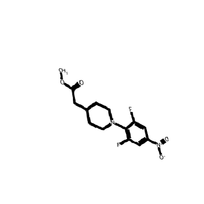 COC(=O)CC1CCN(c2c(F)cc([N+](=O)[O-])cc2F)CC1